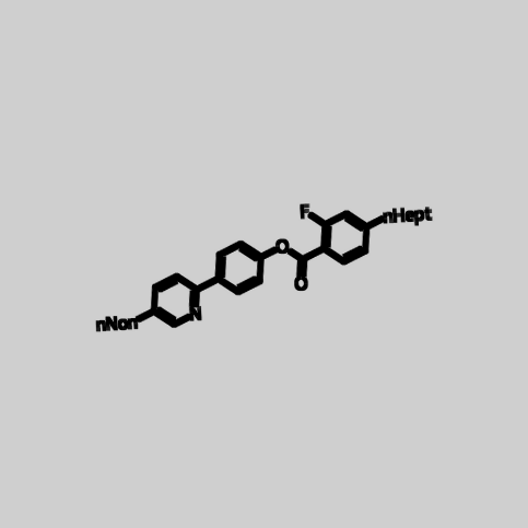 CCCCCCCCCc1ccc(-c2ccc(OC(=O)c3ccc(CCCCCCC)cc3F)cc2)nc1